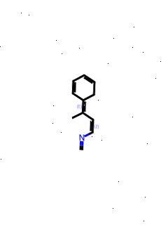 C=N/C=C\C(C)=C1\C=CC=CC1